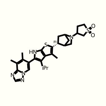 Cc1c(-c2[nH]c3sc([C@@H]4CC5CC4CN5C4CCS(=O)(=O)C4)c(C)c3c2C(C)C)cn2ncnc2c1C